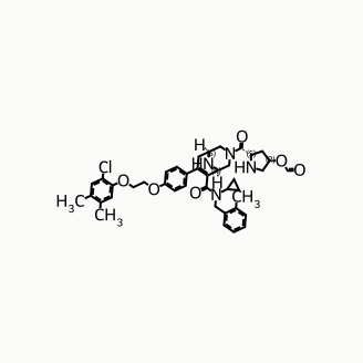 Cc1cc(Cl)c(OCCOc2ccc(C3=C(C(=O)N(Cc4ccccc4C)C4CC4)[C@@H]4CN(C(=O)[C@@H]5C[C@@H](OC=O)CN5)C[C@H](C3)N4)cc2)cc1C